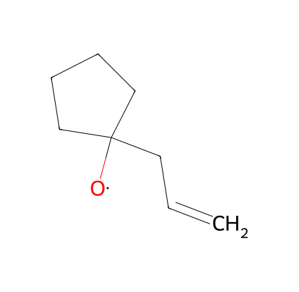 C=CCC1([O])CCCC1